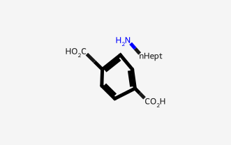 CCCCCCCN.O=C(O)c1ccc(C(=O)O)cc1